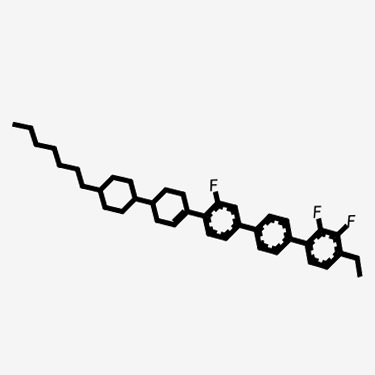 CCCCCCCC1CCC(C2CC=C(c3ccc(-c4ccc(-c5ccc(CC)c(F)c5F)cc4)cc3F)CC2)CC1